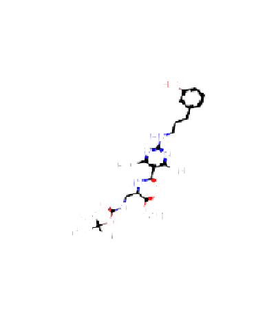 COC(=O)C(CNC(=O)OC(C)(C)C)NC(=O)c1c(C)nc(NCCCc2cccc(O)c2)nc1C